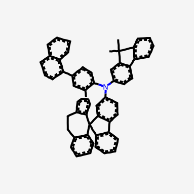 Cc1cc(-c2cccc3ccccc23)ccc1N(c1ccc2c(c1)C(C)(C)c1ccccc1-2)c1ccc2c(c1)C1(c3ccccc3CCc3ccccc31)c1ccccc1-2